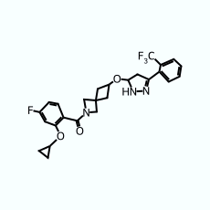 O=C(c1ccc(F)cc1OC1CC1)N1CC2(CC(OC3CC(c4ccccc4C(F)(F)F)=NN3)C2)C1